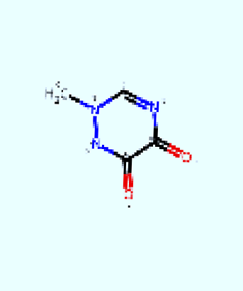 CN1C=NC(=O)C(=O)[N]1